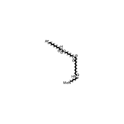 CNCCCCC(C)NC(=O)CCCCCCCCC(=O)CC(=O)OCCCCCCOC(=O)NC(=O)CCCCCCCCC(C)=O